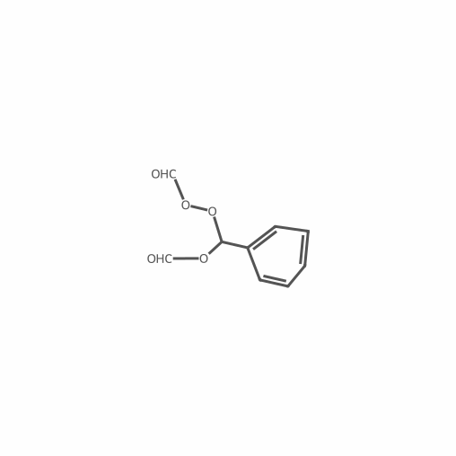 O=COOC(OC=O)c1ccccc1